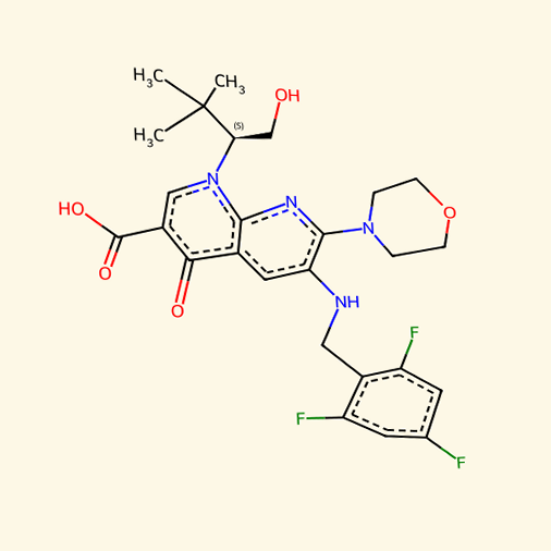 CC(C)(C)[C@@H](CO)n1cc(C(=O)O)c(=O)c2cc(NCc3c(F)cc(F)cc3F)c(N3CCOCC3)nc21